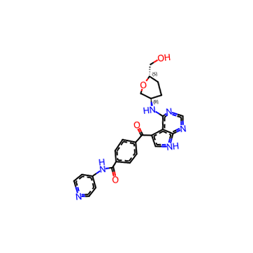 O=C(Nc1ccncc1)c1ccc(C(=O)c2c[nH]c3ncnc(N[C@@H]4CC[C@@H](CO)OC4)c23)cc1